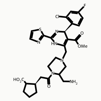 COC(=O)C1=C(CN2CCN(C(=O)C[C@H]3CCCC3C(=O)O)C(CN)C2)NC(c2nccs2)=N[C@H]1c1ccc(F)cc1Cl